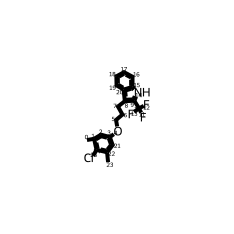 Cc1cc(OCCCc2c(C(F)(F)F)[nH]c3ccccc23)cc(C)c1Cl